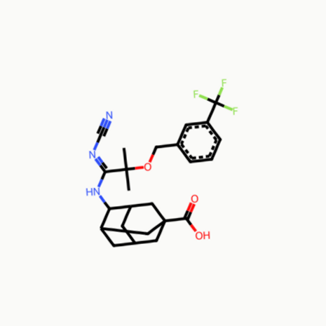 CC(C)(OCc1cccc(C(F)(F)F)c1)/C(=N\C#N)NC1C2CC3CC1CC(C(=O)O)(C3)C2